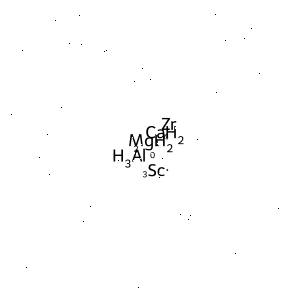 [AlH3].[CaH2].[MgH2].[Sc].[Zr]